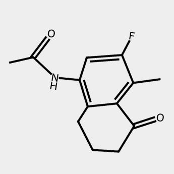 CC(=O)Nc1cc(F)c(C)c2c1CCCC2=O